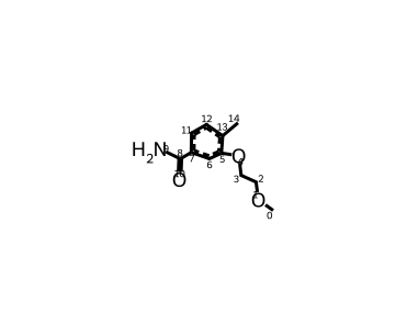 COCCOc1cc(C(N)=O)ccc1C